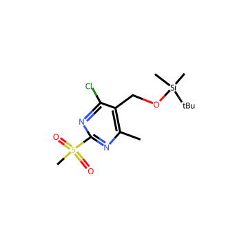 Cc1nc(S(C)(=O)=O)nc(Cl)c1CO[Si](C)(C)C(C)(C)C